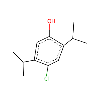 CC(C)c1cc(Cl)c(C(C)C)cc1O